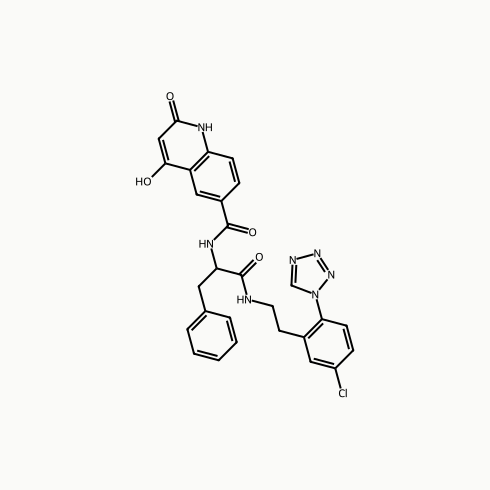 O=C(NC(Cc1ccccc1)C(=O)NCCc1cc(Cl)ccc1-n1cnnn1)c1ccc2[nH]c(=O)cc(O)c2c1